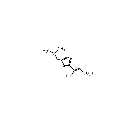 C/C(=C\C(=O)O)c1ccc(C[C@@H](C)N)s1